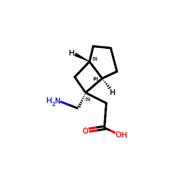 NC[C@]1(CC(=O)O)C[C@@H]2CCC[C@H]21